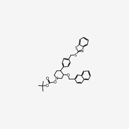 CC(C)(C)OC(=O)ON1CCC(c2ccc(CSc3nc4ccccc4s3)cc2)C(OCc2ccc3ccccc3c2)C1